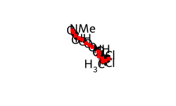 CNC(=O)c1ccc(C(=O)NCCOCCOCCOCCNS(=O)(=O)c2ccc([C@@H]3CN(C)Cc4c(Cl)cc(Cl)cc43)cc2)cc1